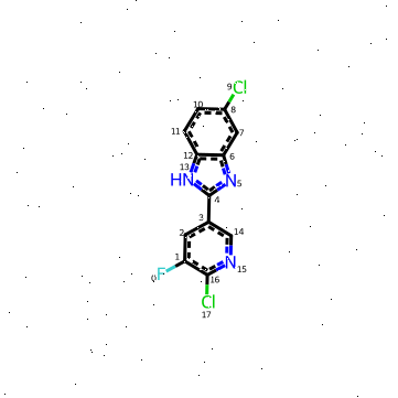 Fc1cc(-c2nc3cc(Cl)ccc3[nH]2)cnc1Cl